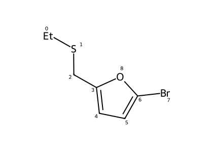 CCSCc1ccc(Br)o1